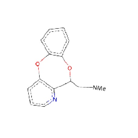 CNCC1Oc2ccccc2Oc2cccnc21